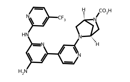 Nc1cc(Nc2cc(C(F)(F)F)ccn2)nc(-c2ccnc(N3C[C@@H]4C[C@H]3CN4C(=O)O)c2)c1